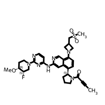 CC#CC(=O)N1CCC[C@H]1c1ccc(N2CC(CS(C)(=O)=O)C2)c2cnc(Nc3ccnc(N4CC[C@@H](OC)[C@@H](F)C4)n3)cc12